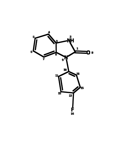 O=c1[nH]c2ccccc2n1-c1ccc(F)cc1